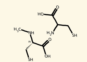 CN[C@@H](CS)C(=O)O.NC(CS)C(=O)O